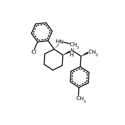 CN[C@@]1(c2ccccc2Cl)CCCC[C@@H]1N[C@@H](C)c1ccc(C)cc1